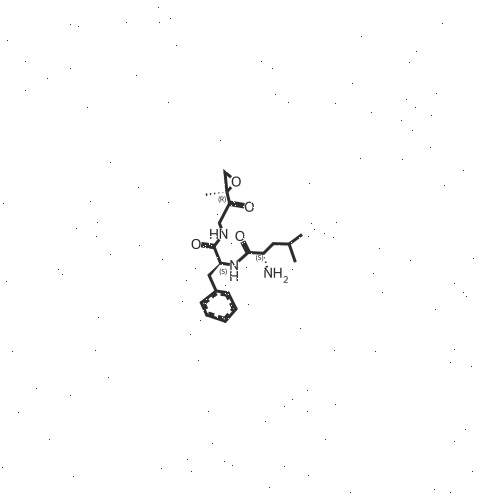 CC(C)C[C@H](N)C(=O)N[C@@H](Cc1ccccc1)C(=O)NCC(=O)[C@@]1(C)CO1